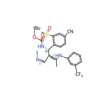 C/N=C\C(=C(/C)Nc1cccc(C(F)(F)F)c1)[C@H](NC(=O)OC(C)(C)C)c1ccc(C#N)cc1S(C)(=O)=O